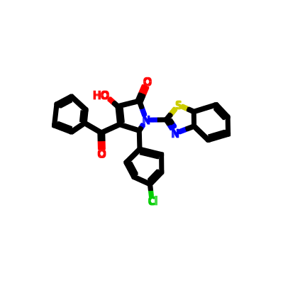 O=C(C1=C(O)C(=O)N(C2=NC3C=CC=CC3S2)C1c1ccc(Cl)cc1)c1ccccc1